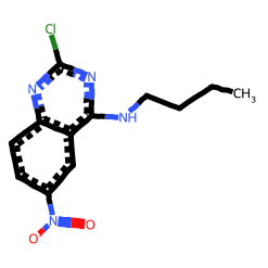 CCCCNc1nc(Cl)nc2ccc([N+](=O)[O-])cc12